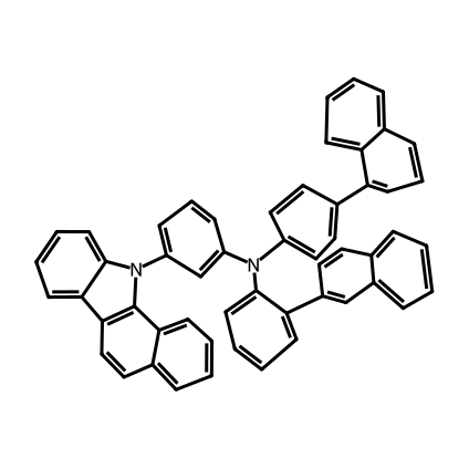 c1cc(N(c2ccc(-c3cccc4ccccc34)cc2)c2ccccc2-c2ccc3ccccc3c2)cc(-n2c3ccccc3c3ccc4ccccc4c32)c1